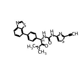 C#Cc1nc(NC(=O)N[C@@H](C(=O)N(C)C)c2ccc(-c3cccc4ncsc34)cc2)cs1